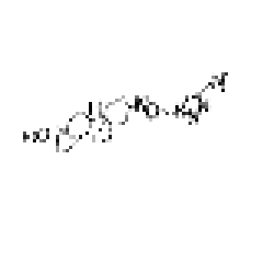 CN(C)Cc1cn(CCON=C2CCC3(C)C(CCC4C5CCC(O)C5(C)CC[C@@H]43)C2)nn1